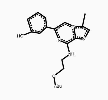 CCCCOCCNc1nc(-c2cccc(O)c2)cn2c(C)cnc12